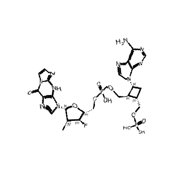 C[C@@H]1[C@H](F)[C@@H](COP(=O)(O)OC[C@@H]2[C@@H](COP(=O)(O)S)C[C@H]2n2cnc3c(N)ncnc32)O[C@H]1n1cnc2c(=O)n3ccnc3[nH]c21